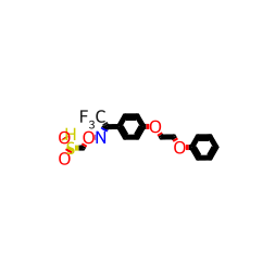 O=[SH](=O)CON=C(c1ccc(OCCOc2ccccc2)cc1)C(F)(F)F